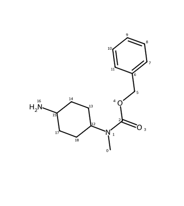 CN(C(=O)OCc1ccccc1)C1CCC(N)CC1